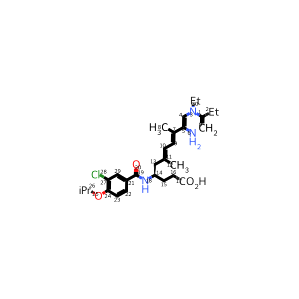 C=C(CC)N(/C=C(N)/C(C)=C/C=C(\C)C[C@@H](CCC(=O)O)NC(=O)c1ccc(OC(C)C)c(Cl)c1)CC